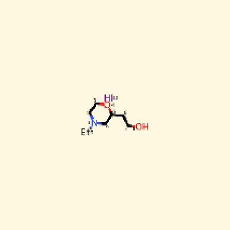 CCN1CCOC(CCO)C1.I